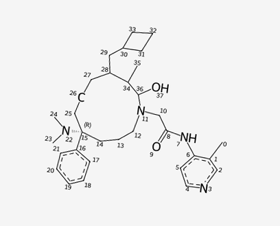 Cc1cnccc1NC(=O)CN1CCC[C@](c2ccccc2)(N(C)C)CCCC(CC2CCC2)C(C)C1O